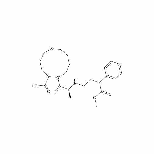 COC(=O)C(CCN[C@@H](C)C(=O)N1CCCCSCCCC1C(=O)O)c1ccccc1